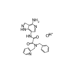 Nc1ncc(NC(=O)C(=O)N(Cc2ccccc2)Cc2ccccn2)c2[nH]ncc12.[Cl-].[H+]